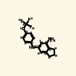 Nc1nc(Nc2ccc(OC(F)(F)F)cc2)nc2c1CCC2